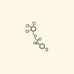 COc1ccc(NC(=O)COCc2ccc(Cl)c(Cl)c2Cl)cc1